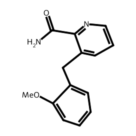 COc1ccccc1Cc1cccnc1C(N)=O